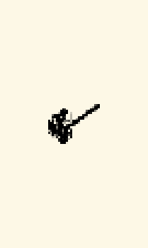 CCCCCCCCCCCCCCCCN1C(C(C(=O)Nc2cc(Cl)c(OC)cc2OC)N2C(=O)OC(C)(C)C2=O)=Nc2ccccc2S1(=O)=O